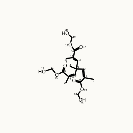 CC(=CC(C)(C=C(C)C(=O)OCO)C=C(C)C(=O)OCO)C(=O)OCO